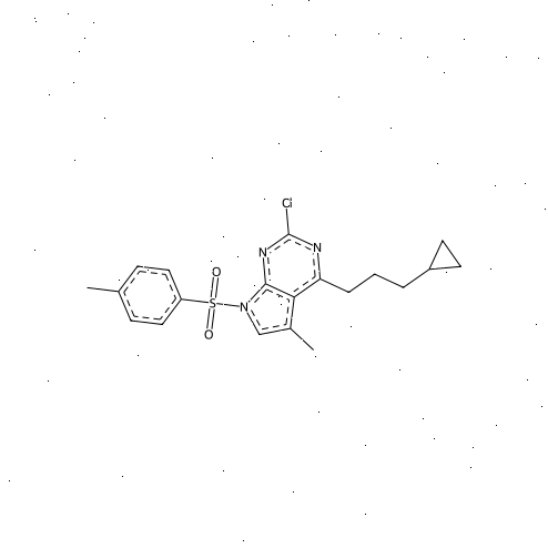 Cc1ccc(S(=O)(=O)n2cc(C)c3c(CCCC4CC4)nc(Cl)nc32)cc1